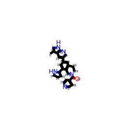 Cc1c[nH]c2ncc(-c3cc4c(c(C5CCCN5)c3)CN(C(=O)c3ccncc3)CC4)cc12